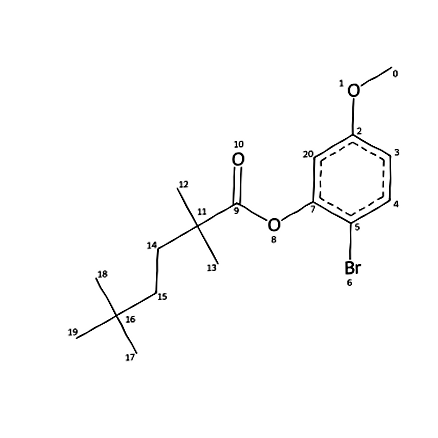 COc1ccc(Br)c(OC(=O)C(C)(C)CCC(C)(C)C)c1